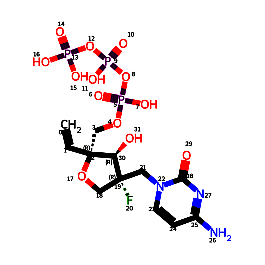 C=C[C@]1(COP(=O)(O)OP(=O)(O)OP(=O)(O)O)OC[C@](F)(Cn2ccc(N)nc2=O)[C@@H]1O